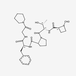 C[C@@H](O)[C@H](NC(=O)[C@@H]1CCN1C=O)C(=O)N1CCCC1C(=O)N[C@@H](Cc1ccccc1)C(=O)NCC(=O)N1CCCCC1